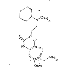 COc1cc(NC(=O)OCCN(C)C2CCCCC2)c(Cl)cc1CN